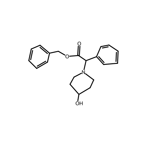 O=C(OCc1ccccc1)C(c1ccccc1)N1CCC(O)CC1